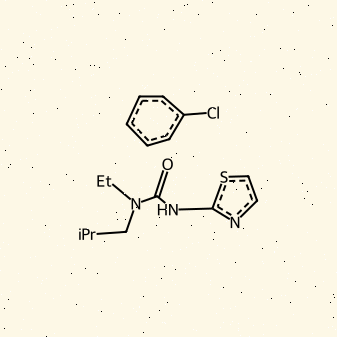 CCN(CC(C)C)C(=O)Nc1nccs1.Clc1ccccc1